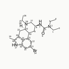 CCN(CC)C(=O)N[C@H]1CC2c3cc(Br)cc4[nH]c(C)c(c34)C[C@H]2N(CC)C1